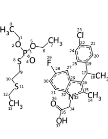 CCOP(=O)(OCC)SCCSCC.Cc1c(C(C)c2ccc(Cl)cc2)c2cc(F)ccc2n1CC(=O)O